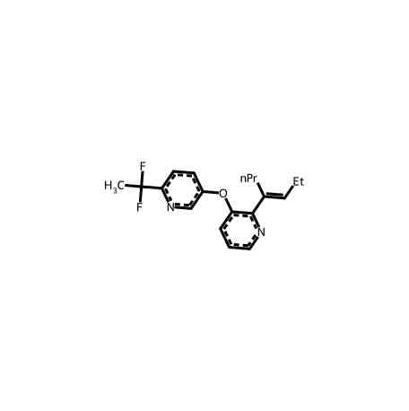 CC/C=C(\CCC)c1ncccc1Oc1ccc(C(C)(F)F)nc1